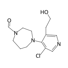 O=CN1CCCN(c2c(Cl)cncc2CCO)CC1